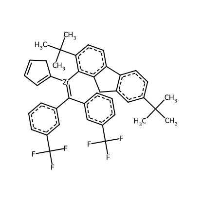 CC(C)(C)c1ccc2c(c1)Cc1c-2ccc(C(C)(C)C)[c]1[Zr]([C]1=CC=CC1)=[C](c1cccc(C(F)(F)F)c1)c1cccc(C(F)(F)F)c1